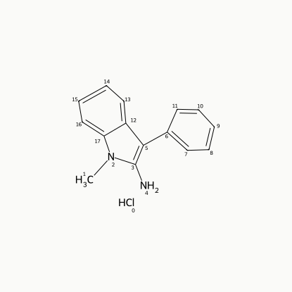 Cl.Cn1c(N)c(-c2ccccc2)c2ccccc21